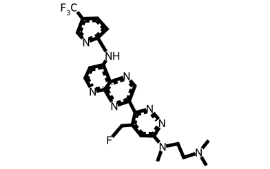 CN(C)CCN(C)c1cc(CF)c(-c2cnc3c(Nc4ccc(C(F)(F)F)cn4)ccnc3n2)nn1